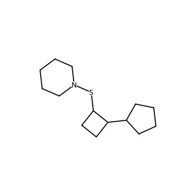 C1CCN(SC2CCC2C2CCCC2)CC1